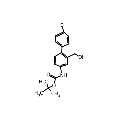 CC(C)(C)OC(=O)Nc1ccc(-c2ccc(Cl)cc2)c(CO)c1